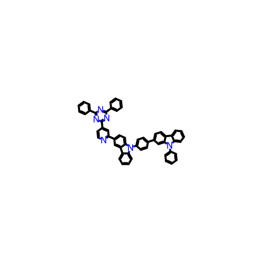 c1ccc(-c2nc(-c3ccccc3)nc(-c3ccnc(-c4ccc5c(c4)c4ccccc4n5-c4ccc(-c5ccc6c7ccccc7n(-c7ccccc7)c6c5)cc4)c3)n2)cc1